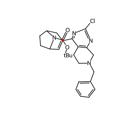 CC(C)(C)OC(=O)N1C2C=C(c3nc(Cl)nc4c3CCN(Cc3ccccc3)C4)CC1CC2